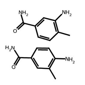 Cc1cc(C(N)=O)ccc1N.Cc1ccc(C(N)=O)cc1N